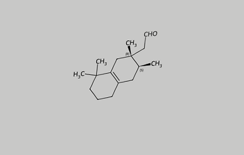 C[C@H]1CC2=C(C[C@]1(C)CC=O)C(C)(C)CCC2